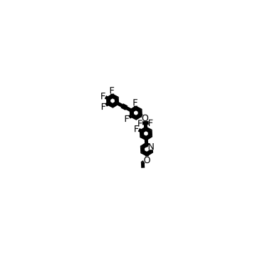 CCOc1ccc(-c2ccc(C(F)(F)Oc3cc(F)c(C#Cc4cc(F)c(F)c(F)c4)c(F)c3)c(F)c2)nc1